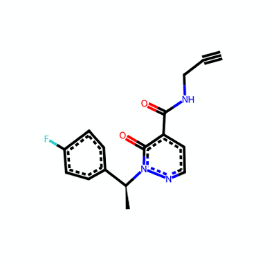 C#CCNC(=O)c1ccnn([C@@H](C)c2ccc(F)cc2)c1=O